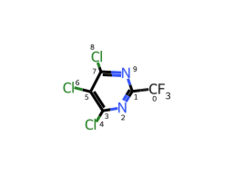 FC(F)(F)c1nc(Cl)c(Cl)c(Cl)n1